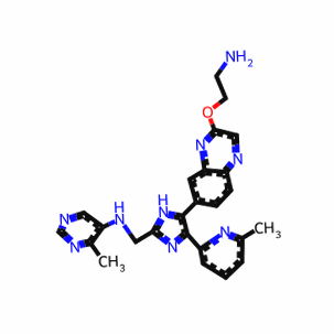 Cc1cccc(-c2nc(CNc3cncnc3C)[nH]c2-c2ccc3ncc(OCCN)nc3c2)n1